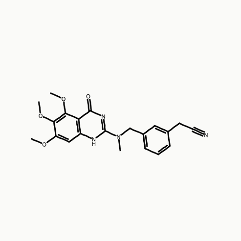 COc1cc2[nH]c(N(C)Cc3cccc(CC#N)c3)nc(=O)c2c(OC)c1OC